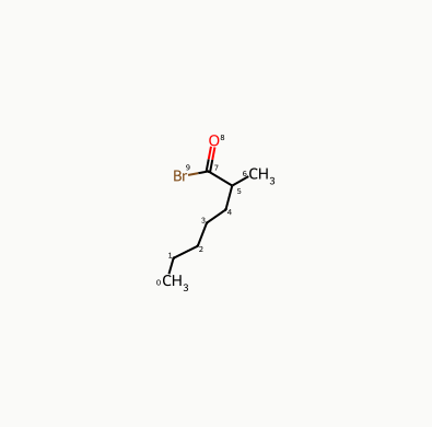 CCCCCC(C)C(=O)Br